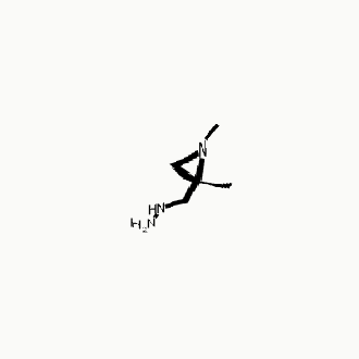 CN1C[C@@]1(C)CNN